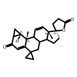 C[C@@]12C(=CC(=O)C3C[C@@H]31)C1(CC1)CC1C2C=C[C@@]2(C)C1CC[C@@]21CCC(=O)O1